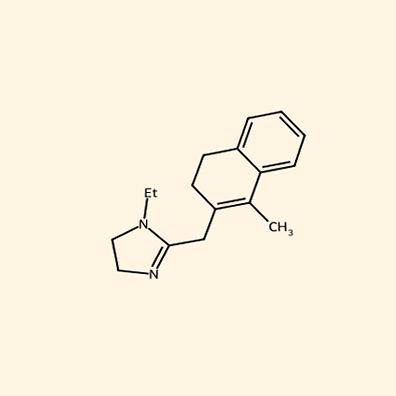 CCN1CCN=C1CC1=C(C)c2ccccc2CC1